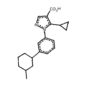 CC1CCCC(c2cccc(-n3ncc(C(=O)O)c3C3CC3)c2)C1